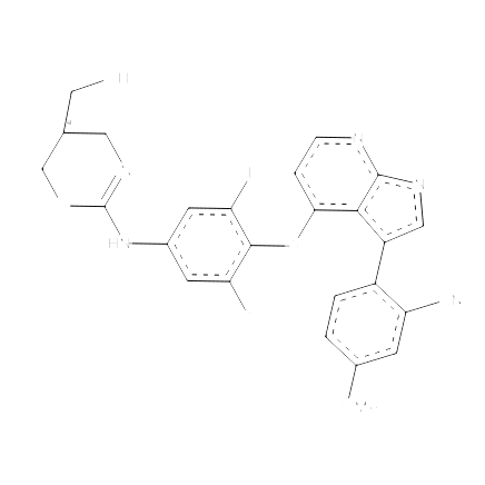 COc1ccc(-c2c[nH]c3nccc(Oc4c(F)cc(NC5=NC[C@](C)(CO)CO5)cc4F)c23)c(C#N)c1